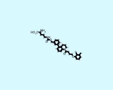 Cc1cccc(OCCCC(=O)N2CCCc3c(-c4cccc(COC(=O)NCCC[C@H](N)C(=O)O)c4)cccc32)c1C